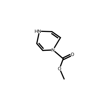 COC(=O)N1C=CNC=C1